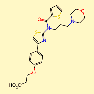 O=C(O)CCOc1ccc(-c2csc(N(CCCN3CCOCC3)C(=O)c3cccs3)n2)cc1